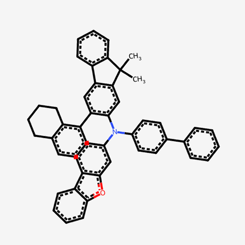 CC1(C)c2ccccc2-c2cc(-c3cccc4c3CCCC4)c(N(c3ccc(-c4ccccc4)cc3)c3ccc4c(c3)oc3ccccc34)cc21